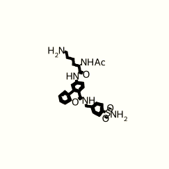 CC(=O)N[C@@H](CCCCN)C(=O)Nc1ccc(C(=O)NCc2ccc(S(N)(=O)=O)cc2)c(-c2ccccc2)c1